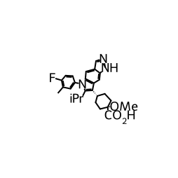 CO[C@]1(C(=O)O)CC[C@H](c2c(C(C)C)n(-c3ccc(F)c(C)c3)c3cc4cn[nH]c4cc32)CC1